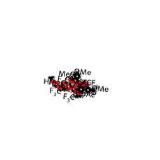 COCc1c(-c2c(C(F)(F)F)nn(-c3c(-c4c(C(F)(F)F)nn(-c5cc(C(C)=O)ccc5-c5[c]c(-n6nc(C(F)(F)F)cc6C)c(-c6ccc(C(=O)OC)cc6)c(OC(C)=O)c5-n5nc(C(F)(F)F)cc5C)c4C)ccc(OC)c3OC)c2C)cccc1-n1nc(C(F)(F)F)c(-c2ccc(NC3CC3)cc2)c1C